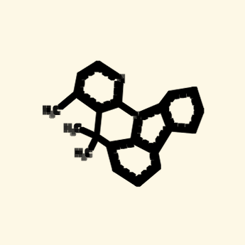 Cc1ccnc2c1C(C)(C)c1cccc3c4ccccc4n-2c13